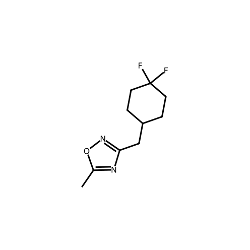 Cc1nc(CC2CCC(F)(F)CC2)no1